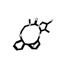 CC1C(F)CN2C(=O)N(C)CCOc3ccccc3-c3cccc(c3F)CC12